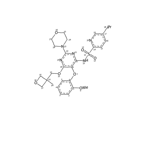 COc1ccccc1Oc1c(NS(=O)(=O)c2ccc(C(C)C)cn2)nc(N2CCOCC2)nc1OCC1(C)COC1